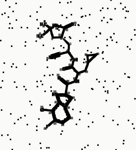 CC1(C)C[C@@H](CC(C#N)NC(=O)C(CC2CC2)NC(=O)c2cc3ccc(F)c(Cl)c3[nH]2)C(=O)N1